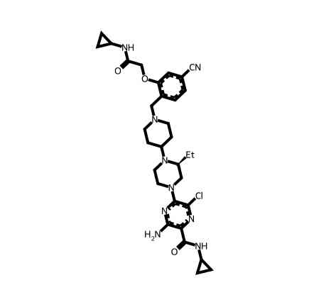 CC[C@H]1CN(c2nc(N)c(C(=O)NC3CC3)nc2Cl)CCN1C1CCN(Cc2ccc(C#N)cc2OCC(=O)NC2CC2)CC1